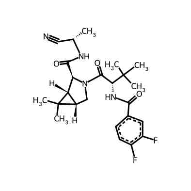 C[C@@H](C#N)NC(=O)[C@@H]1[C@@H]2[C@H](CN1C(=O)[C@@H](NC(=O)c1ccc(F)c(F)c1)C(C)(C)C)C2(C)C